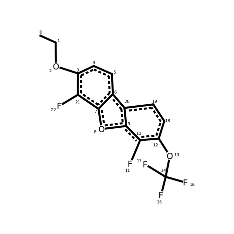 CCOc1ccc2c(oc3c(F)c(OC(F)(F)F)ccc32)c1F